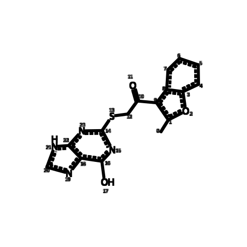 Cc1oc2ccccc2c1C(=O)CSc1nc(O)c2nc[nH]c2n1